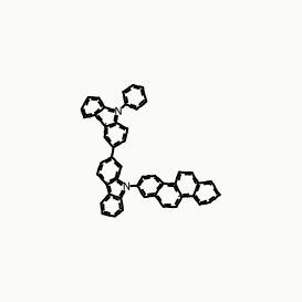 c1ccc(-n2c3ccccc3c3cc(-c4ccc5c6ccccc6n(-c6ccc7c(ccc8c9ccccc9ccc78)c6)c5c4)ccc32)cc1